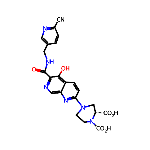 N#Cc1ccc(CNC(=O)c2ncc3nc(N4CCN(C(=O)O)[C@@H](C(=O)O)C4)ccc3c2O)cn1